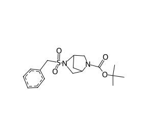 CC(C)(C)OC(=O)N1CC2CC1CN2S(=O)(=O)Cc1ccccc1